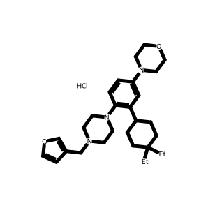 CCC1(CC)CCC(c2cc(N3CCOCC3)ccc2N2CCN(Cc3ccoc3)CC2)CC1.Cl